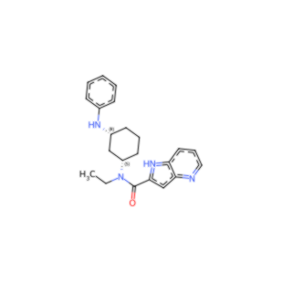 CCN(C(=O)c1cc2ncccc2[nH]1)[C@H]1CCC[C@@H](Nc2ccccc2)C1